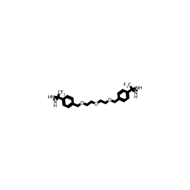 FC(F)(F)C1(c2ccc(COCCOCCOCc3ccc(C4(C(F)(F)F)NN4)cc3)cc2)NN1